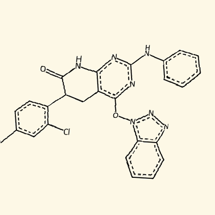 O=C1Nc2nc(Nc3ccccc3)nc(On3nnc4ccccc43)c2CC1c1ccc(Cl)cc1Cl